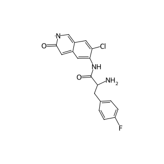 NC(Cc1ccc(F)cc1)C(=O)Nc1cc2c(cc1Cl)=C[N]C(=O)C=2